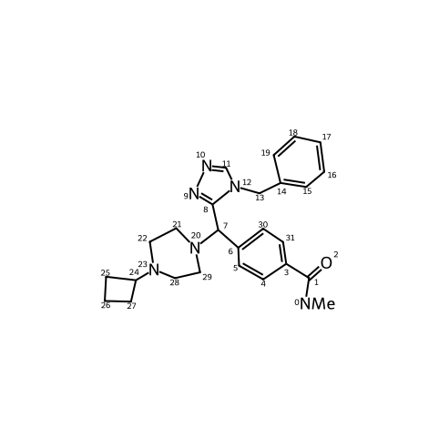 CNC(=O)c1ccc(C(c2nncn2Cc2ccccc2)N2CCN(C3CCC3)CC2)cc1